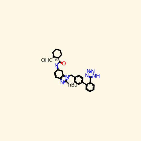 CCCCc1nc2c(n1Cc1ccc(-c3ccccc3-c3nnn[nH]3)cc1)CC(=NC(=O)[C@@H]1CCCC[C@@H]1C=O)C=C2